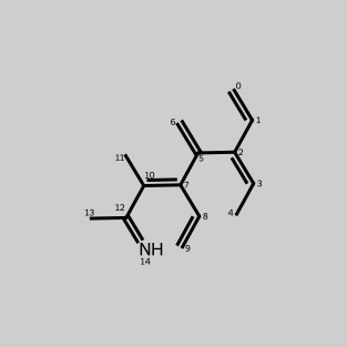 C=C/C(=C/C)C(=C)/C(C=C)=C(\C)C(C)=N